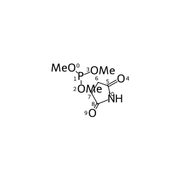 COP(OC)OC.O=C1CCC(=O)N1